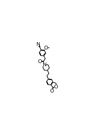 COc1cc(CC(=O)N2CCC(CCc3ccc4c(c3)COC4=O)CC2)ccc1C#N